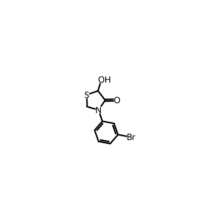 O=C1C(O)SCN1c1cccc(Br)c1